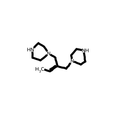 CC=C(CN1CCNCC1)CN1CCNCC1